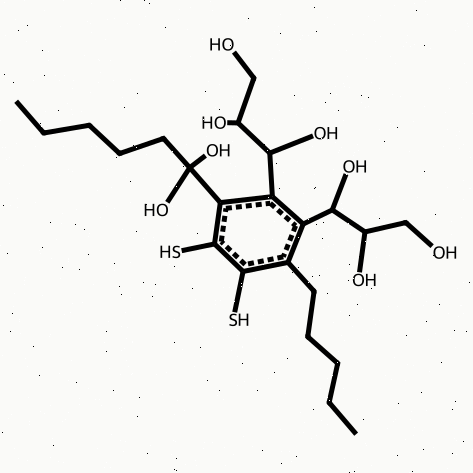 CCCCCc1c(S)c(S)c(C(O)(O)CCCCC)c(C(O)C(O)CO)c1C(O)C(O)CO